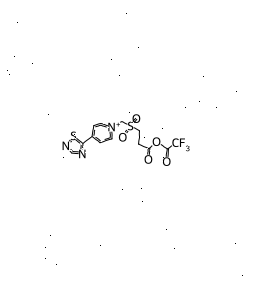 O=C(CCS(=O)(=O)C[n+]1ccc(-c2ncns2)cc1)OC(=O)C(F)(F)F